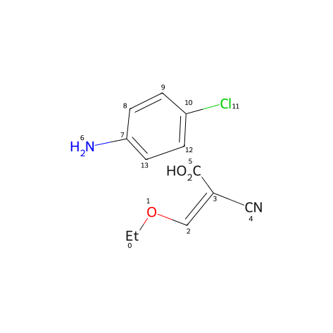 CCOC=C(C#N)C(=O)O.Nc1ccc(Cl)cc1